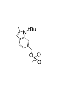 Cc1cc2ccc(COS(C)(=O)=O)cc2n1C(C)(C)C